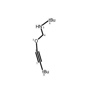 CC(C)(C)C#COCNC(C)(C)C